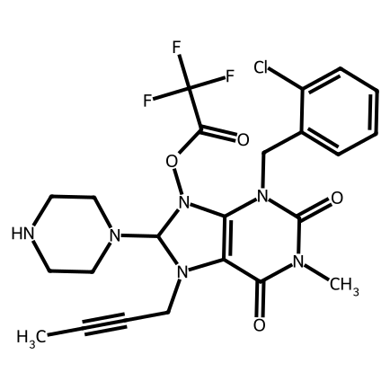 CC#CCN1c2c(n(Cc3ccccc3Cl)c(=O)n(C)c2=O)N(OC(=O)C(F)(F)F)C1N1CCNCC1